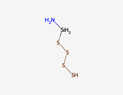 N[SiH2]SSSS